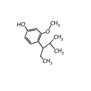 CCC(c1ccc(O)cc1OC)C(C)C